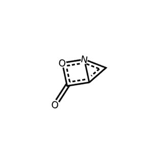 O=c1on2cc1-2